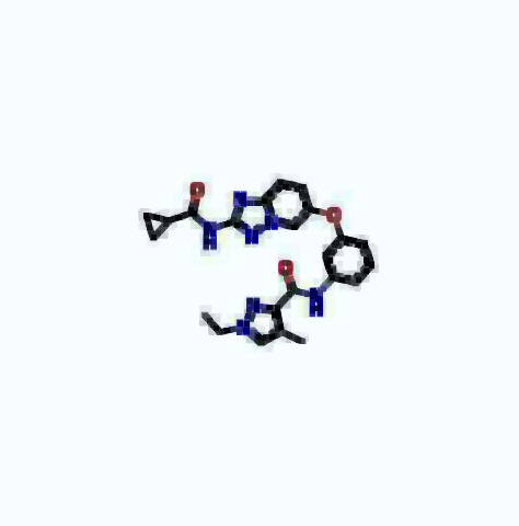 CCn1cc(C)c(C(=O)Nc2cccc(Oc3ccc4nc(NC(=O)C5CC5)nn4c3)c2)n1